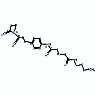 CCCCNC(=O)COCC(=O)Nc1ccc(CCC(=O)N2CCC2=O)cc1